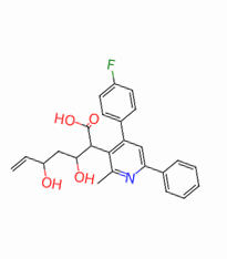 C=CC(O)CC(O)C(C(=O)O)c1c(-c2ccc(F)cc2)cc(-c2ccccc2)nc1C